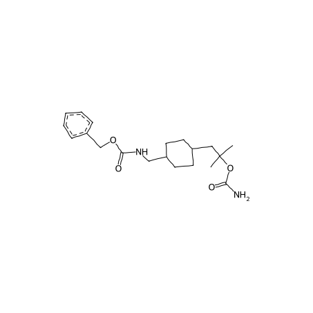 CC(C)(CC1CCC(CNC(=O)OCc2ccccc2)CC1)OC(N)=O